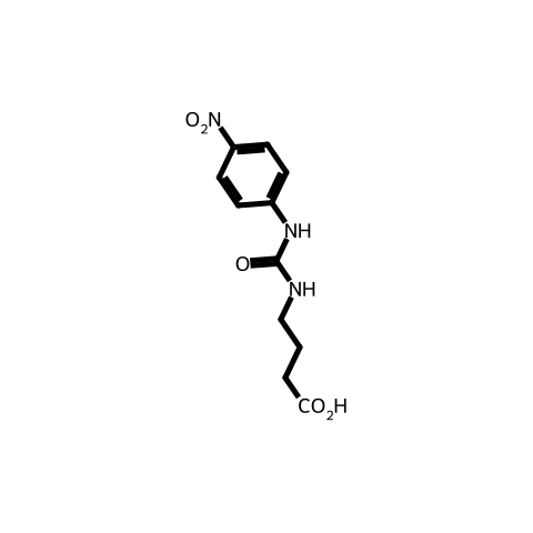 O=C(O)CCCNC(=O)Nc1ccc([N+](=O)[O-])cc1